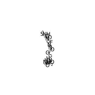 CCC(=S)NC[C@H]1CN(c2ccc(N3CCN(C(=O)CCC(=O)c4ccc(CNC(=O)[C@H](C)NC(=O)[C@H](C)N)cc4)CC3)c(F)c2)C(=O)O1